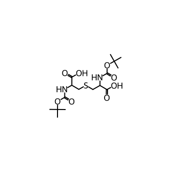 CC(C)(C)OC(=O)NC(CSCC(NC(=O)OC(C)(C)C)C(=O)O)C(=O)O